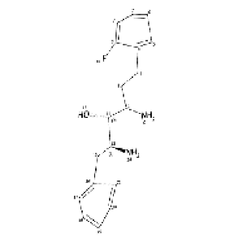 NC(CCc1ccccc1F)[C@@H](O)[C@@H](N)Cc1ccccc1